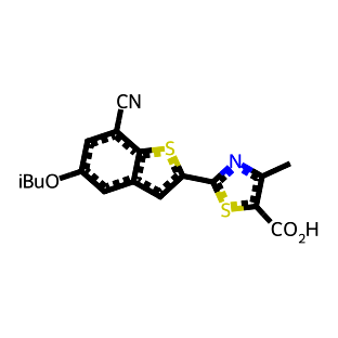 Cc1nc(-c2cc3cc(OCC(C)C)cc(C#N)c3s2)sc1C(=O)O